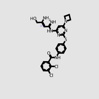 N=C(/C=C(\N)CO)Nc1cc(N2CCC2)nc(Sc2ccc(NC(=O)c3cccc(Cl)c3Cl)cc2)n1